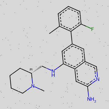 Cc1cccc(F)c1-c1cc(NC[C@H]2CCCCN2C)c2cc(N)ncc2c1